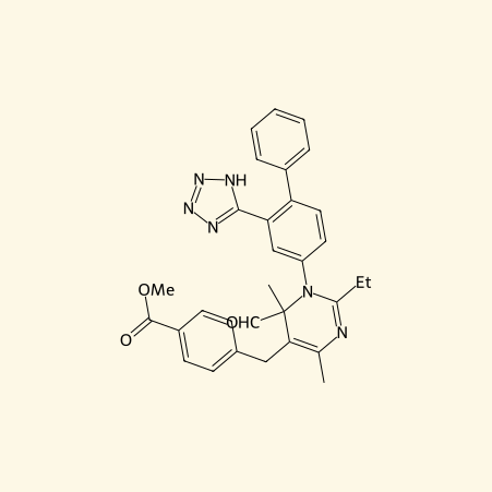 CCC1=NC(C)=C(Cc2ccc(C(=O)OC)cc2)C(C)(C=O)N1c1ccc(-c2ccccc2)c(-c2nnn[nH]2)c1